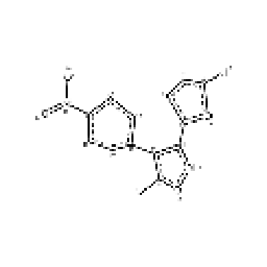 Cc1onc(-c2ccc(Cl)o2)c1-c1ccc([N+](=O)[O-])cc1